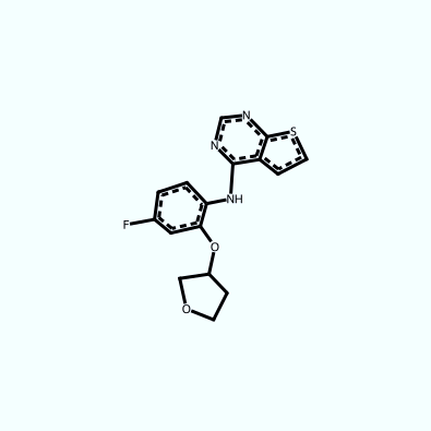 Fc1ccc(Nc2ncnc3sccc23)c(OC2CCOC2)c1